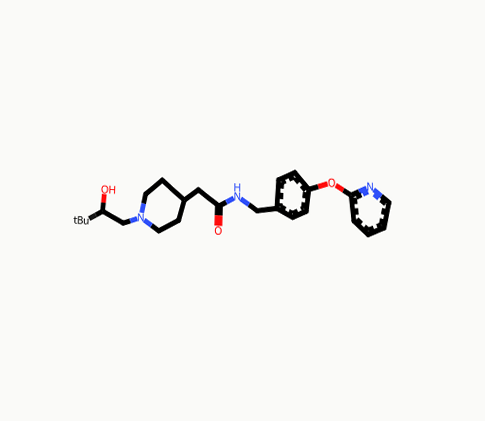 CC(C)(C)C(O)CN1CCC(CC(=O)NCc2ccc(Oc3ccccn3)cc2)CC1